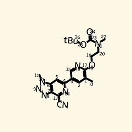 Cc1cc(-c2cc3c(nnn3C)c(C#N)n2)cnc1OCCN(C)C(=O)OC(C)(C)C